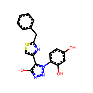 Oc1ccc(-n2nnc(O)c2-c2csc(Cc3ccccc3)n2)c(O)c1